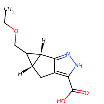 CCOCC1[C@H]2Cc3c(n[nH]c3C(=O)O)[C@@H]12